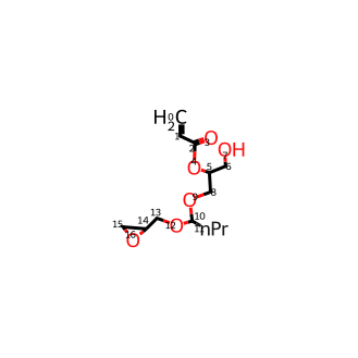 C=CC(=O)OC(CO)COC(CCC)OCC1CO1